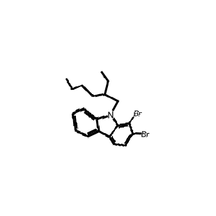 CCCCC(CC)Cn1c2ccccc2c2ccc(Br)c(Br)c21